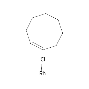 C1=C\CCCCCC/1.[Cl][Rh]